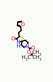 CC(C)(C)OC(=O)N1CCC2(CC1)NC(=O)C(CCc1ccco1)S2